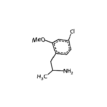 COc1cc(Cl)ccc1CC(C)N